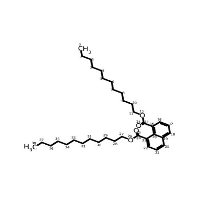 CCCCCCCCCCCCOC(=O)c1cccc2cccc(C(=O)OCCCCCCCCCCCC)c12